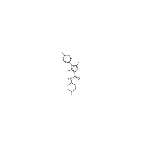 Cc1ccc(-n2c(C)cc(C(=O)NC3CCC(C)CC3)c2C)cc1